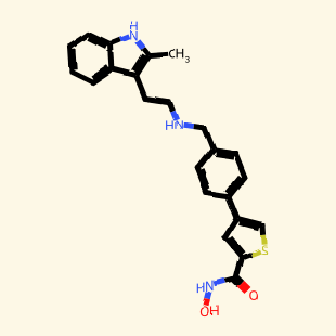 Cc1[nH]c2ccccc2c1CCNCc1ccc(-c2csc(C(=O)NO)c2)cc1